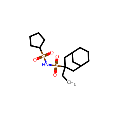 CCC1(S(=O)(=O)NS(=O)(=O)C2CCCC2)CC2CCCC(C2)C1